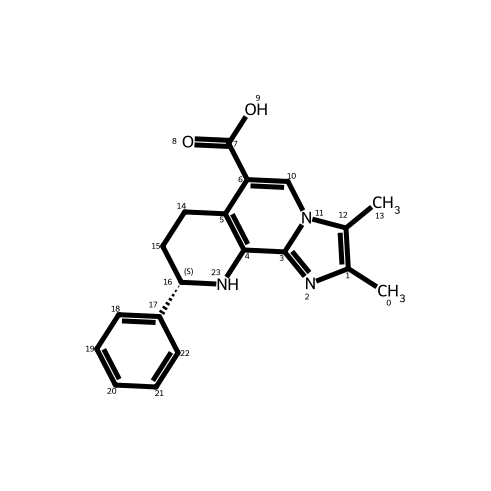 Cc1nc2c3c(c(C(=O)O)cn2c1C)CC[C@@H](c1ccccc1)N3